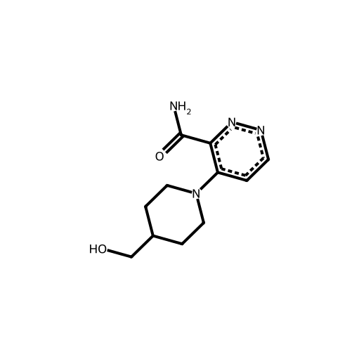 NC(=O)c1nnccc1N1CCC(CO)CC1